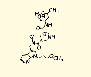 COCCCn1cc(CN(C(=O)[C@H]2CNC[C@@H](C(=O)NC(CO)CC(C)C)C2)C2CC2)c2cccnc21